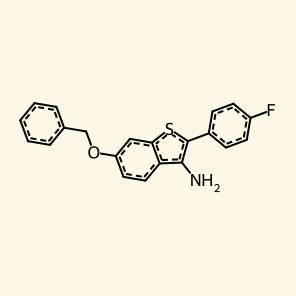 Nc1c(-c2ccc(F)cc2)sc2cc(OCc3ccccc3)ccc12